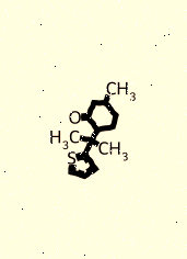 CC1CCC(C(C)(C)c2cccs2)C(=O)C1